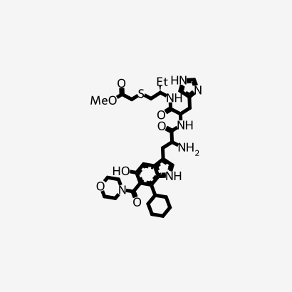 CC[C@@H](CSCC(=O)OC)NC(=O)C(Cc1c[nH]cn1)NC(=O)C(N)Cc1c[nH]c2c(C3CCCCC3)c(C(=O)N3CCOCC3)c(O)cc12